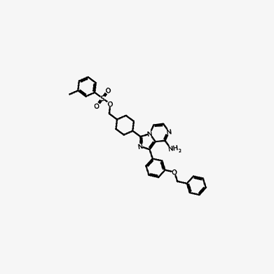 Cc1cccc(S(=O)(=O)OCC2CCC(c3nc(-c4cccc(OCc5ccccc5)c4)c4c(N)nccn34)CC2)c1